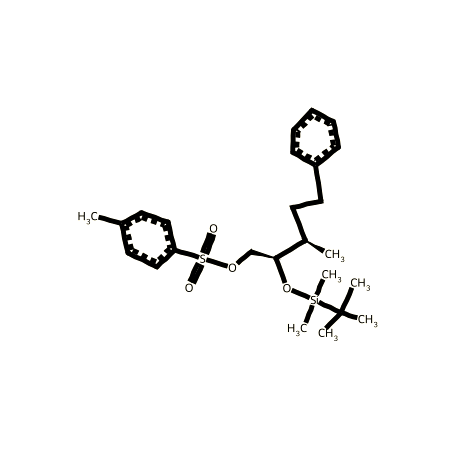 Cc1ccc(S(=O)(=O)OC[C@H](O[Si](C)(C)C(C)(C)C)[C@H](C)CCc2ccccc2)cc1